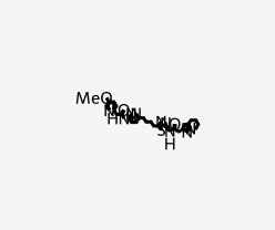 COc1ccc(CC(=O)Nc2ccc(CCCCc3nnc(NC(=O)Cc4cc5n(n4)CCCC5)s3)nn2)nc1